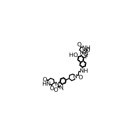 Cn1c(=O)n(C2CCC(=O)NC2=O)c2ccc(C3CCN(C(=O)CNc4ccc5c(F)c(N6CC(=O)NS6(=O)=O)c(O)cc5c4)CC3)cc21